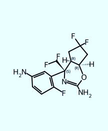 NC1=N[C@@](c2cc(N)ccc2F)(C(F)F)[C@H]2CC(F)(F)C[C@H]2O1